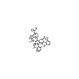 C=CC(=O)N1CCN2c3c(c(=O)n(-c4c(C)ccnc4C(C)C)c4nc(-c5c(F)cccc5OC)c(F)cc34)N(CC)C(=O)[C@H]2C1